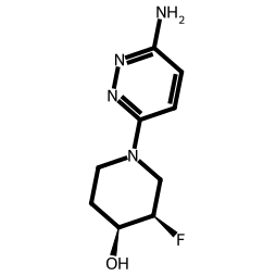 Nc1ccc(N2CC[C@H](O)[C@H](F)C2)nn1